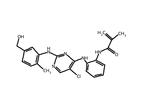 C=C(C)C(=O)Nc1ccccc1Nc1nc(Nc2cc(CO)ccc2C)ncc1Cl